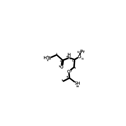 BCC(=O)NC(COC(C)S)OC(C)C